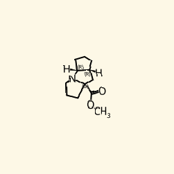 COC(=O)[C@@]12CCCN1[C@@H]1CCC[C@@H]1C2